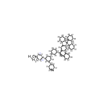 C=N/C=C\C(=C/C)c1cc(-c2ccncc2)cc(-c2cccc(-c3nc4ccccc4c4cc5c(cc34)-c3ccccc3C53c4ccccc4-c4ccccc43)c2)c1